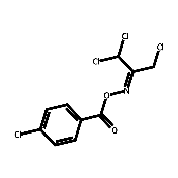 O=C(ON=C(CCl)C(Cl)Cl)c1ccc(Cl)cc1